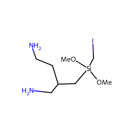 CO[Si](CI)(CC(CN)CCN)OC